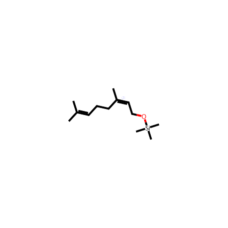 CC(C)=CCC/C(C)=C\CO[Si](C)(C)C